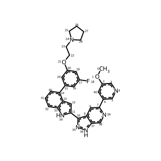 COc1cncc(-c2cc3c(-c4cc5c(-c6cc(F)cc(OCCN7CCCC7)c6)cccc5[nH]4)n[nH]c3cn2)c1